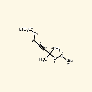 CCOC(=O)OCC#CC(C)(C)OOC(C)(C)C